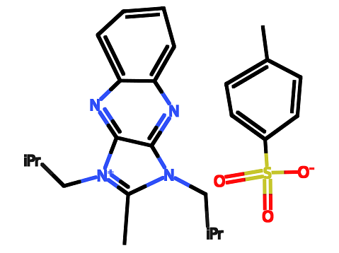 Cc1ccc(S(=O)(=O)[O-])cc1.Cc1n(CC(C)C)c2nc3ccccc3nc2[n+]1CC(C)C